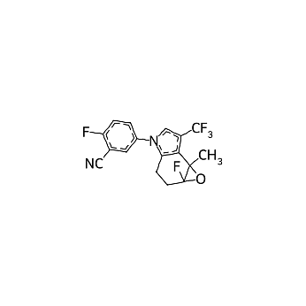 CC12OC1(F)CCc1c2c(C(F)(F)F)cn1-c1ccc(F)c(C#N)c1